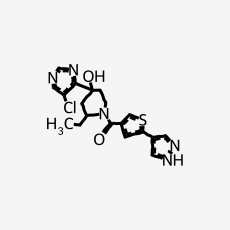 CCC1CC(O)(c2ncncc2Cl)CCN1C(=O)c1csc(-c2cn[nH]c2)c1